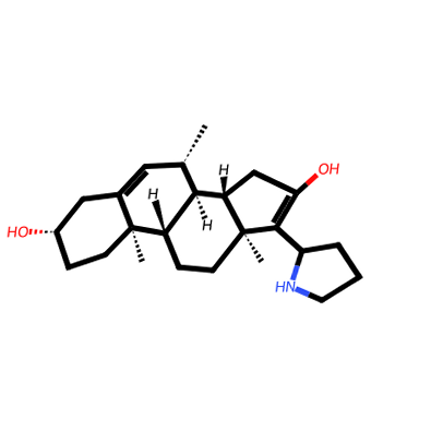 C[C@H]1C=C2C[C@@H](O)CC[C@]2(C)[C@H]2CC[C@]3(C)C(C4CCCN4)=C(O)C[C@H]3[C@H]12